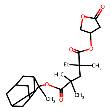 CCC(C)(CC(C)(C)C(=O)OC1(C)C2CC3CC(C2)CC1C3)C(=O)OC1COC(=O)C1